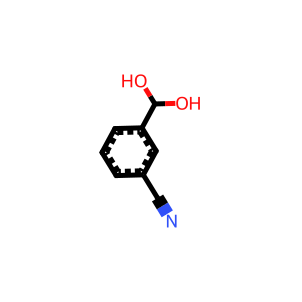 N#Cc1cccc(C(O)O)c1